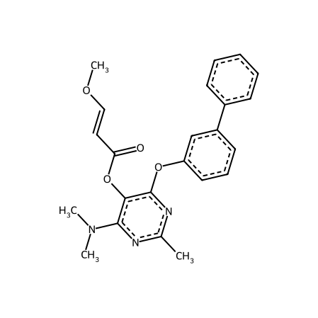 COC=CC(=O)Oc1c(Oc2cccc(-c3ccccc3)c2)nc(C)nc1N(C)C